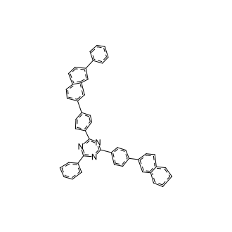 c1ccc(-c2ccc3ccc(-c4ccc(-c5nc(-c6ccccc6)nc(-c6ccc(-c7ccc8ccccc8c7)cc6)n5)cc4)cc3c2)cc1